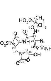 CC(C)(O/N=C(\C(=O)NC1C(=O)N(S(=O)(=O)O)C1CN1CC(O)OC1=O)c1csc(N)n1)C(=O)O